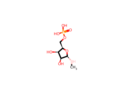 CB[C@@H]1O[C@H](COP(=O)(O)O)[C@H](O)[C@@H]1O